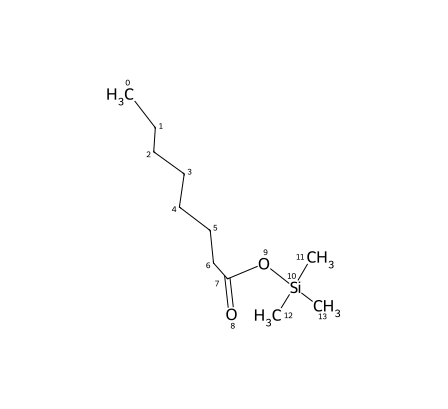 CCCCCCCC(=O)O[Si](C)(C)C